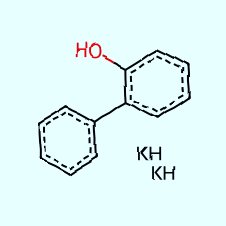 Oc1ccccc1-c1ccccc1.[KH].[KH]